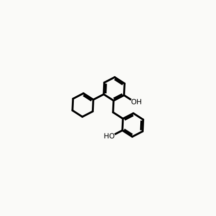 Oc1ccccc1Cc1c(O)cccc1C1=CCCCC1